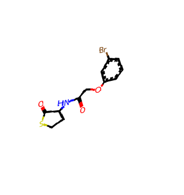 O=C(COc1cccc(Br)c1)NC1CCSC1=O